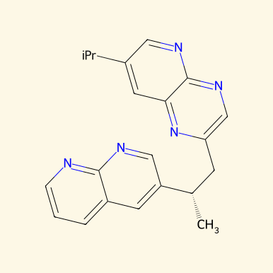 CC(C)c1cnc2ncc(C[C@H](C)c3cnc4ncccc4c3)nc2c1